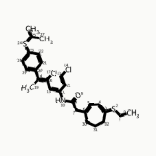 CCSC1=CC=C(CC(=O)NC(/C=C/Cl)=C/C(Cl)=C(\C)c2ccc(SC(C)C)cc2)CCC1